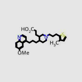 COc1ccc2nccc(CCCC3CCN(CCCc4sccc4C)CC3CCC(=O)O)c2c1